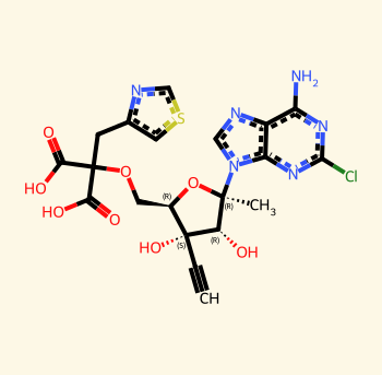 C#C[C@]1(O)[C@@H](O)[C@](C)(n2cnc3c(N)nc(Cl)nc32)O[C@@H]1COC(Cc1cscn1)(C(=O)O)C(=O)O